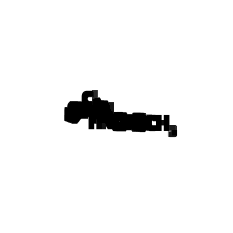 CN1CCN(c2ccc(Nc3ncc(Cl)c(NCC4CCCO4)n3)cc2)CC1